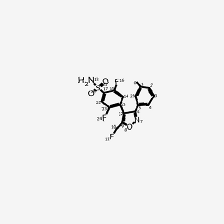 Cc1cccc(-c2noc(CF)c2-c2cc(F)c(S(N)(=O)=O)cc2F)c1